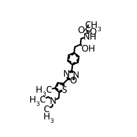 CCN(CC)Cc1sc(-c2nc(-c3ccc(CC(O)CNS(C)(=O)=O)cc3)no2)cc1C